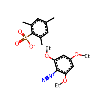 CCOc1cc(OCC)c([N+]#N)c(OCC)c1.Cc1cc(C)c(S(=O)(=O)[O-])c(C)c1